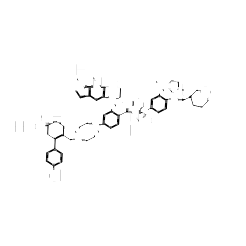 CC1(C)CCC(CN2CCN(c3ccc(C(=O)NS(=O)(=O)c4ccc(NCC5(F)CCCOC5)c([N+](=O)[O-])c4)c(N4CCOc5nc6[nH]ccc6cc54)c3)CC2)=C(c2ccc(Cl)cc2)C1